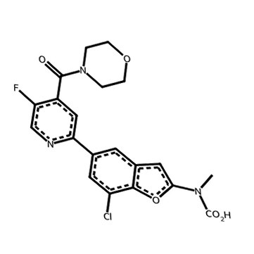 CN(C(=O)O)c1cc2cc(-c3cc(C(=O)N4CCOCC4)c(F)cn3)cc(Cl)c2o1